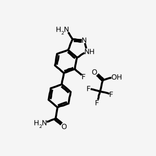 NC(=O)c1ccc(-c2ccc3c(N)n[nH]c3c2F)cc1.O=C(O)C(F)(F)F